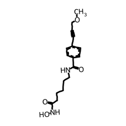 COCC#Cc1ccc(C(=O)NCCCCCC(=O)NO)cc1